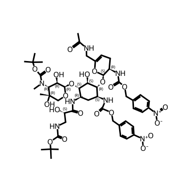 CC(=O)NCC1=CC[C@@H](NC(=O)OCc2ccc([N+](=O)[O-])cc2)[C@@H](O[C@H]2[C@H](O)[C@@H](O[C@H]3OC[C@](C)(O)[C@H](N(C)C(=O)OC(C)(C)C)[C@H]3O)[C@H](NC(=O)[C@@H](O)CNC(=O)OC(C)(C)C)C[C@@H]2NC(=O)OCc2ccc([N+](=O)[O-])cc2)O1